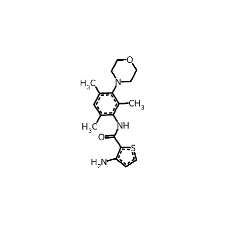 Cc1cc(C)c(N2CCOCC2)c(C)c1NC(=O)c1sccc1N